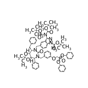 CC(C)(C)OC(=O)N(C(=O)OC(C)(C)C)c1nn(C(=O)OC(C)(C)C)c2ccc(CN3C(=O)N(Cc4cccc(OCP(=O)(Oc5ccccc5)Oc5ccccc5)c4)C(c4ccccc4)[C@@H]4OC(C)(C)O[C@H]4[C@H]3Cc3ccccc3)cc12